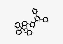 c1ccc(-c2cc(-c3ccccc3)nc(-c3cccc(-c4cccc5c4-n4c(nc6ccccc64)C5(c4ccccc4)c4ccccc4)c3)n2)cc1